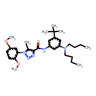 CCCCN(CCCC)c1cc(NC(=O)c2nnn(-c3cc(OC)ccc3OC)c2C)cc(C(C)(C)C)c1